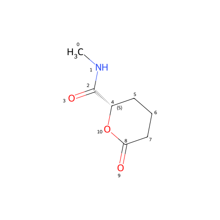 CNC(=O)[C@@H]1CCCC(=O)O1